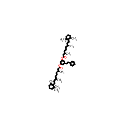 CC1=C(/C=C/C(C)=C/C=C/C(C)=C/C(=O)Oc2cc(/C=C/c3cc[c]cc3)cc(OC(=O)/C=C(C)/C=C/C=C(C)/C=C/C3=C(C)CCCC3(C)C)c2)C(C)(C)CCC1